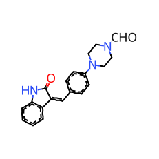 O=CN1CCN(c2ccc(C=C3C(=O)Nc4ccccc43)cc2)CC1